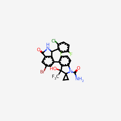 NC(=O)N1c2ccc(F)c(-c3cc(Br)cc4c3C(c3cc(F)ccc3Cl)NC4=O)c2C(O)(C(F)(F)F)C12CC2